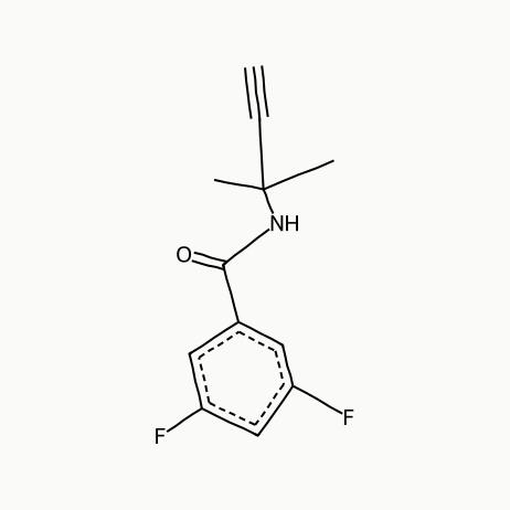 C#CC(C)(C)NC(=O)c1cc(F)cc(F)c1